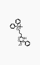 COC(=O)[C@H](NC(=O)CCCO[Si](c1ccccc1)(c1ccccc1)C(C)(C)C)c1ccccc1